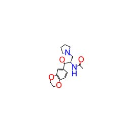 CC(=O)N[C@H](CN1CCCC1)C(=O)c1ccc2c(c1)OCCO2